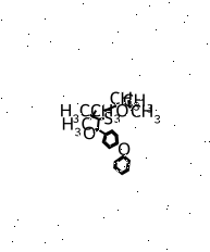 CC(C)OC(C)CSC(C(=O)c1ccc(Oc2ccccc2)cc1)C(C)(C)C